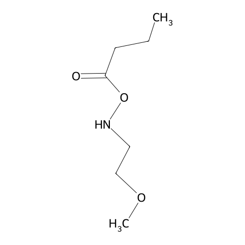 CCCC(=O)ONCCOC